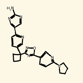 Nc1ncc(-c2ccc(C3(c4noc(-c5ccc(N6CCCC6)nc5)n4)CCC3)cn2)cn1